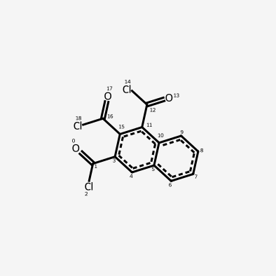 O=C(Cl)c1cc2ccccc2c(C(=O)Cl)c1C(=O)Cl